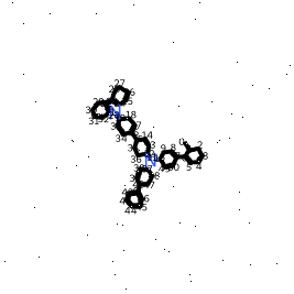 CC1CC=CC=C1C1=CCC(N(C2C=CC(C3=CCC(n4c5c(c6c4C=CCC6)CCC=C5)C=C3)CC2)C2C=CC(c3ccccc3)CC2)C=C1